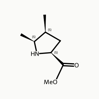 COC(=O)[C@@H]1C[C@H](C)[C@H](C)N1